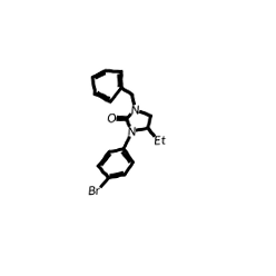 CCC1CN(Cc2ccccc2)C(=O)N1c1ccc(Br)cc1